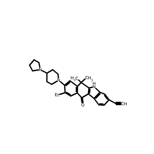 C#Cc1ccc2c3c([nH]c2c1)C(C)(C)c1cc(N2CCC(N4CCCC4)CC2)c(CC)cc1C3=O